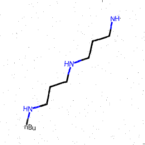 CCCCNCCCNCCC[NH]